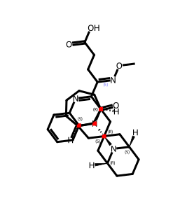 CO/N=C(\CCC(=O)O)c1nc2ccccc2n([C@H]2C[C@H]3CCC[C@@H](C2)N3[C@@H]2C[C@@H]3CCCC[C@@H](C3)C2)c1=O